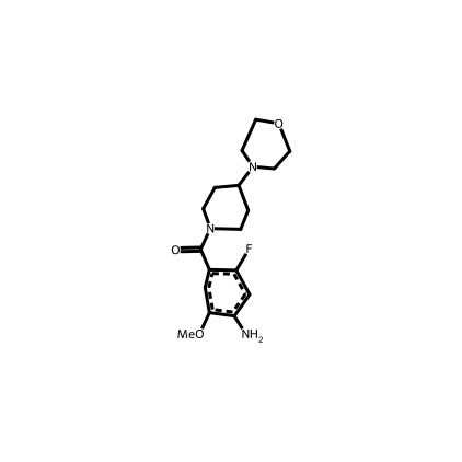 COc1cc(C(=O)N2CCC(N3CCOCC3)CC2)c(F)cc1N